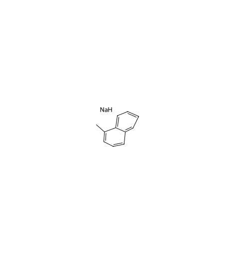 Cc1cccc2ccccc12.[NaH]